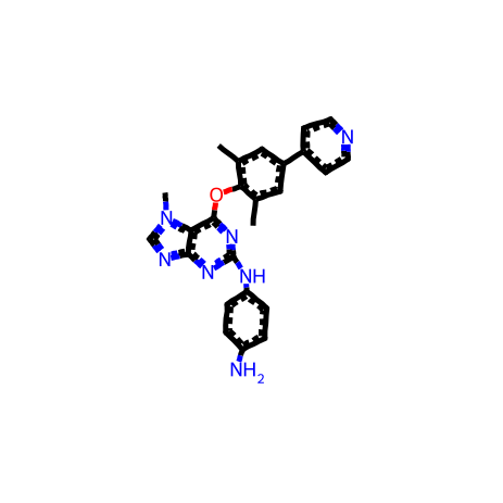 Cc1cc(-c2ccncc2)cc(C)c1Oc1nc(Nc2ccc(N)cc2)nc2ncn(C)c12